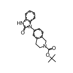 CC(C)(C)OC(=O)N1CCc2cc(-n3c(=O)[nH]c4ccccc43)ccc2C1